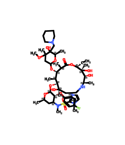 CC[C@H]1OC(=O)[C@H](C)[C@@H](OC2CC(C)(OC)C(O)(CN3CCCCC3)[C@@H](C)O2)[C@H](C)[C@@H](O[C@@H]2O[C@H](C)C[C@H](N(C)S(=O)(=O)c3nccn3C)[C@H]2Oc2ccc(F)cc2)[C@](C)(O)C[C@@H](C)CN[C@H](C)[C@@H](O)[C@]1(C)O